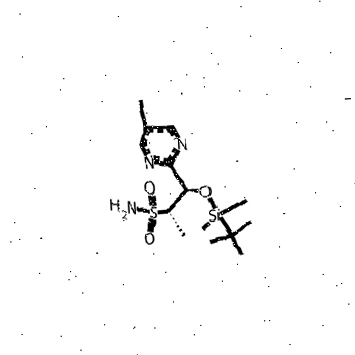 Cc1cnc([C@@H](O[Si](C)(C)C(C)(C)C)[C@H](C)S(N)(=O)=O)nc1